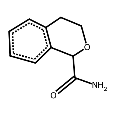 NC(=O)C1OCCc2ccccc21